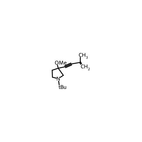 C=C(C)C#CC1(OC)CCN(C(C)(C)C)C1